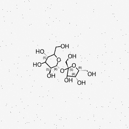 OCC1O[C@H](O[C@]2(CO)O[C@H](CO)[C@H](O)C2O)[C@@H](O)C(O)[C@@H]1O